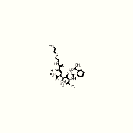 C/C(=C\[C@H](C(C)C)N(C)C(=O)[C@@H](NC(=O)[C@H]1CCCCN1C(C)C)C(C)C)C(=O)NCCOCCO